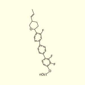 C/C=C/C1CCC(c2ccc(-c3ccc(-c4ccc(OCCCCCCCC)c(F)c4F)cc3)cc2F)OC1